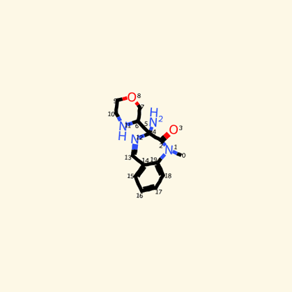 CN1C(=O)C(N)(C2COCCN2)N=Cc2ccccc21